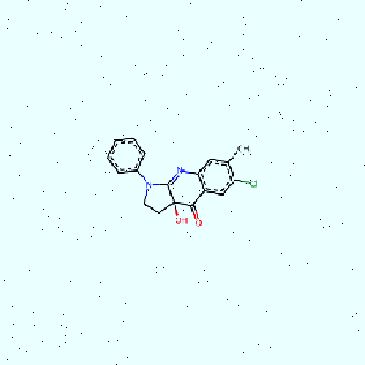 Cc1cc2c(cc1Cl)C(=O)[C@]1(O)CCN(c3ccccc3)C1=N2